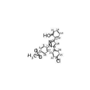 CS(=O)(=O)c1ccc(-n2nc(-c3ccccc3O)cc2-c2ccc(Cl)cc2)cc1